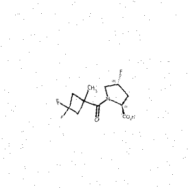 CC1(C(=O)N2C[C@H](F)C[C@H]2C(=O)O)CC(F)(F)C1